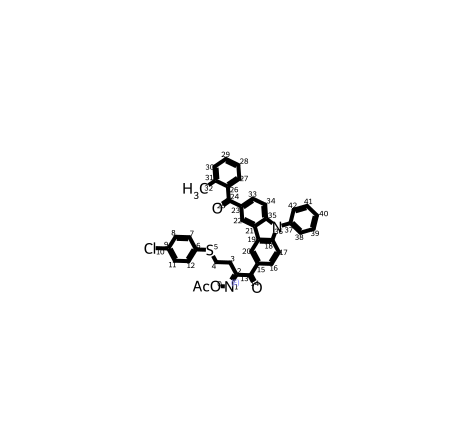 CC(=O)O/N=C(\CCSc1ccc(Cl)cc1)C(=O)c1ccc2c(c1)c1cc(C(=O)c3ccccc3C)ccc1n2-c1ccccc1